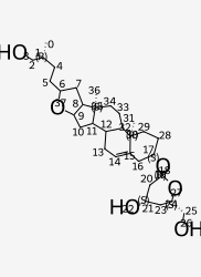 C[C@@H](CO)CCC1CC2C(CC3C4CC=C5C[C@@H](O[C@H]6C[C@@H](O)C[C@@H](CO)O6)CC[C@]5(C)C4CC[C@]23C)O1